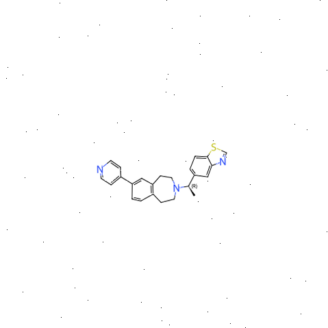 C[C@H](c1ccc2scnc2c1)N1CCc2ccc(-c3ccncc3)cc2CC1